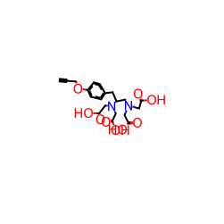 C#CCOc1ccc(CC(CN(CC(=O)O)CC(=O)O)N(CC(=O)O)CC(=O)O)cc1